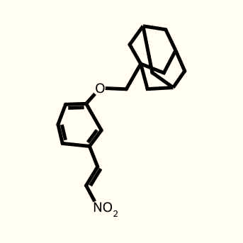 O=[N+]([O-])C=Cc1cccc(OCC23CC4CC(CC(C4)C2)C3)c1